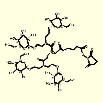 O=C(CCCCC(=O)ON1C(=O)CCC1=O)N[C@@H](CCC(=O)N(CCO[C@H]1O[C@H](CO)[C@@H](O)[C@H](O)[C@@H]1O)CCO[C@H]1O[C@H](CO)[C@@H](O)[C@H](O)[C@@H]1O)C(=O)N(CCO[C@H]1O[C@H](CO)[C@@H](O)[C@H](O)[C@@H]1O)CCO[C@H]1O[C@H](CO)[C@@H](O)[C@H](O)[C@@H]1O